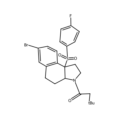 CC(C)(C)CC(=O)N1CCC2(S(=O)(=O)c3ccc(F)cc3)c3ccc(Br)cc3CCC12